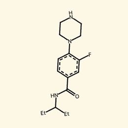 CCC(CC)NC(=O)c1ccc(N2CCNCC2)c(F)c1